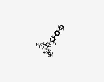 CS[C@](C)(CCn1cnc(-c2ccc(-n3nccn3)cc2)cc1=O)C(=O)NOP(=O)(O)O